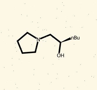 CCCC[C@@H](O)CN1CCCC1